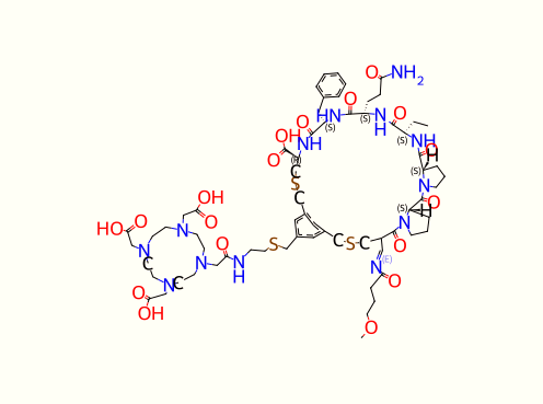 CC[C@@H]1NC(=O)[C@@H]2CCCN2C(=O)[C@@H]2CCCN2C(=O)C(/C=N/C(=O)CCCOC)CSCc2cc(CSCCNC(=O)CN3CCN(CC(=O)O)CCN(CC(=O)O)CCN(CC(=O)O)CC3)cc(c2)CSC[C@@H](C(=O)O)NC(=O)[C@H](Cc2ccccc2)NC(=O)[C@H](CCC(N)=O)NC1=O